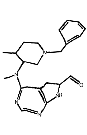 CC1CCN(Cc2ccccc2)CC1N(C)c1ncnc2c1CC(C=O)N2